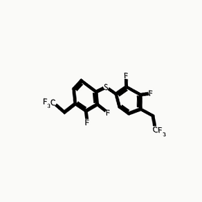 Fc1c(CC(F)(F)F)ccc(Sc2ccc(CC(F)(F)F)c(F)c2F)c1F